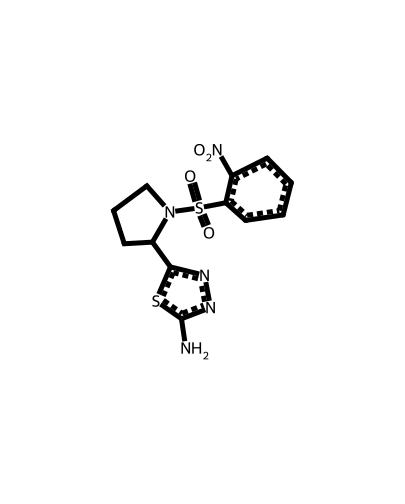 Nc1nnc(C2CCCN2S(=O)(=O)c2ccccc2[N+](=O)[O-])s1